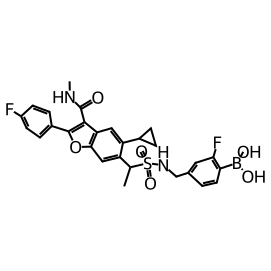 CNC(=O)c1c(-c2ccc(F)cc2)oc2cc(C(C)S(=O)(=O)NCc3ccc(B(O)O)c(F)c3)c(C3CC3)cc12